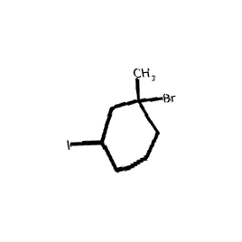 CC1(Br)CCCC(I)C1